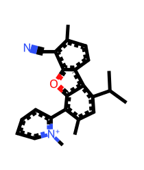 Cc1ccc2c(oc3c(-c4cccc[n+]4C)c(C)cc(C(C)C)c32)c1C#N